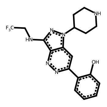 Oc1ccccc1-c1cc2c(nn1)c(NCC(F)(F)F)nn2C1CCNCC1